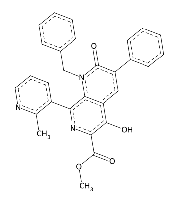 COC(=O)c1nc(-c2cccnc2C)c2c(cc(-c3ccccc3)c(=O)n2Cc2ccccc2)c1O